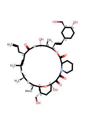 C=CC[C@@H]1/C=C(\C)C[C@H](C)C[C@H](OC)[C@H]2O[C@](O)(CC[C@@H]2CO)C(=O)C(=O)N2CCCCC2C(=O)O[C@H](/C=C/[C@@H]2CC[C@@H](O)[C@H](CO)C2)[C@H](C)[C@@H](O)CC1=O